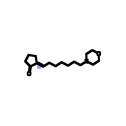 O=C1CCC/C1=C\CCCCCCN1CCOCC1